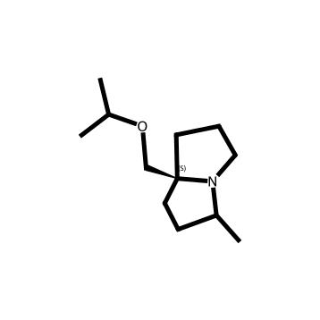 CC(C)OC[C@@]12CCCN1C(C)CC2